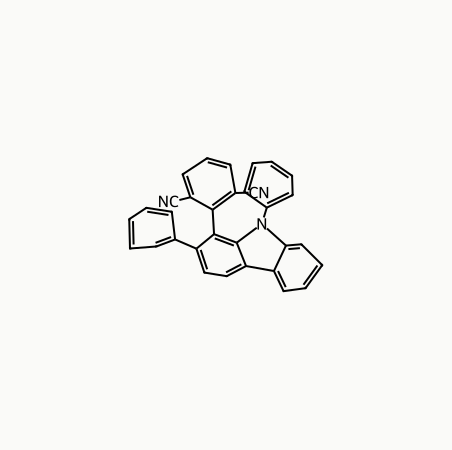 N#Cc1cccc(C#N)c1-c1c(-c2ccccc2)ccc2c3ccccc3n(-c3ccccc3)c12